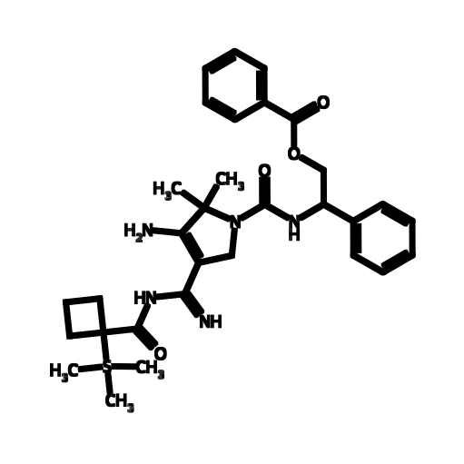 CC1(C)C(N)=C(C(=N)NC(=O)C2(S(C)(C)C)CCC2)CN1C(=O)NC(COC(=O)c1ccccc1)c1ccccc1